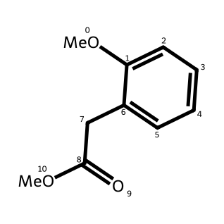 [CH2]Oc1ccccc1CC(=O)OC